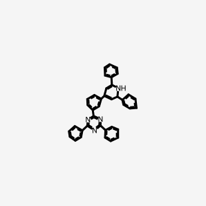 C1=C(c2cccc(-c3nc(-c4ccccc4)nc(-c4ccccc4)n3)c2)C=C(c2ccccc2)NC1c1ccccc1